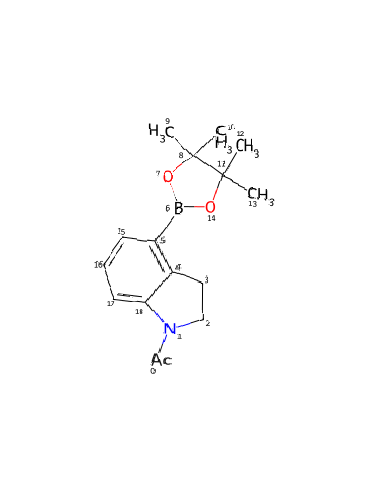 CC(=O)N1CCc2c(B3OC(C)(C)C(C)(C)O3)cccc21